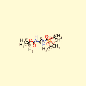 CC(C)OP(=O)(OC(C)C)C(=O)NCCNC(=O)OC(C)(C)C